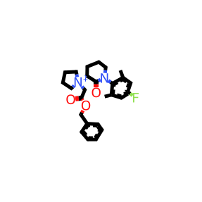 Cc1cc(F)cc(C)c1N1CCCC([N+]2(CC(=O)OCc3ccccc3)CCCC2)C1=O